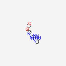 Cc1cccnc1Nc1nnc(-c2ccc(OC3CCOCC3)cn2)[nH]1